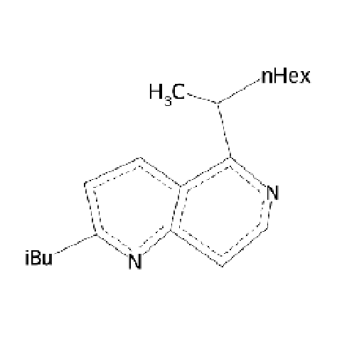 CCCCCCC(C)c1nccc2nc(C(C)CC)ccc12